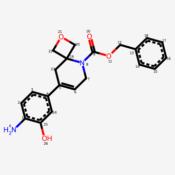 Nc1ccc(C2=CCN(C(=O)OCc3ccccc3)C3(COC3)C2)cc1O